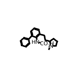 CN1CCCC1CCc1cccc(-c2ccccc2)c1NC(=O)O